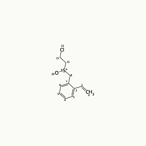 C=Cc1ccccc1C[S+]([O-])CCCl